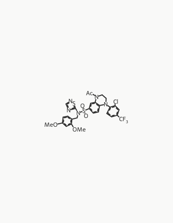 COc1ccc(CN(c2ncns2)S(=O)(=O)c2ccc3c(c2)N(C(C)=O)CCN3c2ccc(C(F)(F)F)cc2Cl)c(OC)c1